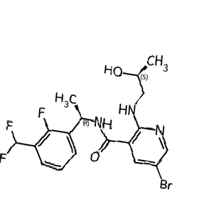 C[C@H](O)CNc1ncc(Br)cc1C(=O)N[C@H](C)c1cccc(C(F)F)c1F